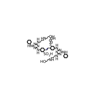 O=S(=O)(O)c1cc(Nc2nc(NCCCNCCO)nc(Nc3ccccc3)n2)ccc1/C=C/c1ccc(Nc2nc(NCCCNCCO)nc(Nc3ccccc3)n2)cc1SOOO